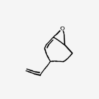 C=CC1C=C2OC2CC1